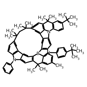 Cc1cc2c3c(c1)C(C)(C)c1cc4c5cc1B3c1cc3c6cc(cc7c6n(c3cc1N2c1ccc(C(C)(C)C)cc1)-c1ccc(C(C)(C)C)cc1C7(C)C)C(C)(C)CC(C)(C)c1ccc(c5c1)n4-c1ccccc1